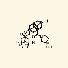 O=C(c1cc(Cl)ccc1OCC(=O)N1[C@@H]2CC[C@H]1CC(Oc1ccc(F)cc1)C2)N1CC[C@H](O)C1